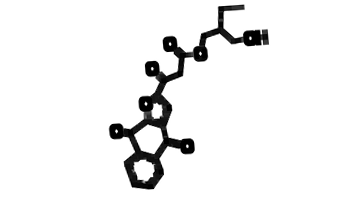 CCC(CO)COC(=O)CC(=O)c1cc2c(o1)C(=O)c1ccccc1C2=O